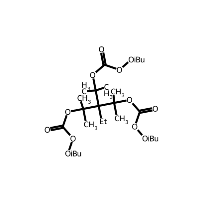 CCC(C(C)(C)OC(=O)OOCC(C)C)(C(C)(C)OC(=O)OOCC(C)C)C(C)(C)OC(=O)OOCC(C)C